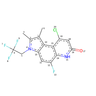 Cc1c(C)n(CC(F)(F)F)c2cc(F)c3[nH]c(=O)cc(Cl)c3c12